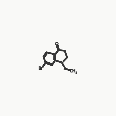 CSN1CCC(=O)c2ccc(Br)cc21